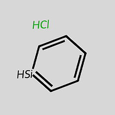 Cl.c1cc[siH]cc1